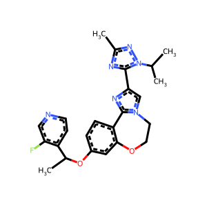 Cc1nc(-c2cn3c(n2)-c2ccc(OC(C)c4ccncc4F)cc2OCC3)n(C(C)C)n1